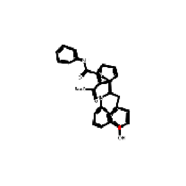 COC(=O)C1=C(C(=O)Nc2ccccc2)C2C=CC1(C(Cc1ccccc1)Nc1cccc(CO)c1)O2